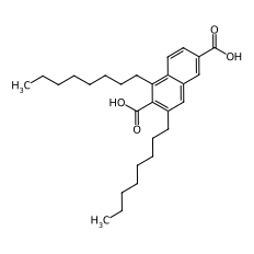 CCCCCCCCc1cc2cc(C(=O)O)ccc2c(CCCCCCCC)c1C(=O)O